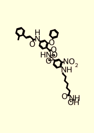 Cc1ccccc1C=CC(=O)Nc1ccc(C(=O)NS(=O)(=O)c2ccc(NCCCCCCC(=O)NO)c([N+](=O)[O-])c2)c(Oc2ccccc2)c1